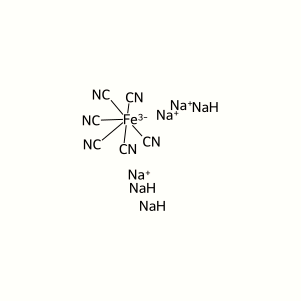 N#[C][Fe-3]([C]#N)([C]#N)([C]#N)([C]#N)[C]#N.[Na+].[Na+].[Na+].[NaH].[NaH].[NaH]